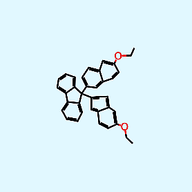 CCOc1ccc2cc(C3(c4ccc5cc(OCC)ccc5c4)c4ccccc4-c4ccccc43)ccc2c1